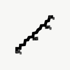 CCCCCCCCCCCCCCC(N)CCC.Cl